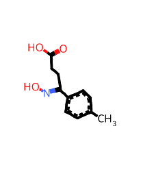 Cc1ccc(C(CCC(=O)O)=NO)cc1